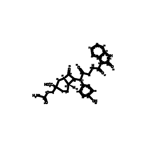 NC(=O)OCC1(C(=O)O)CS[C@@H]2C(N(C(=O)CNC(=O)n3c(=O)[nH]c4ccccc43)c3ccc(O)cc3)C(=O)N2C1